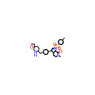 Cc1ccc(S(=O)(=O)n2cc(-c3ccc(CC4CCC5(CCO5)CN4)cc3)c3ccn(C)c(=O)c32)cc1